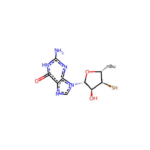 CCCC[C@H]1O[C@@H](n2cnc3c(=O)[nH]c(N)nc32)[C@H](O)[C@@H]1S